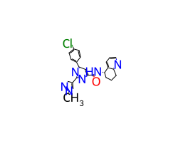 Cn1cc(-c2nc(C(=O)N[C@H]3CCCc4ncccc43)cc(-c3ccc(Cl)cc3)n2)cn1